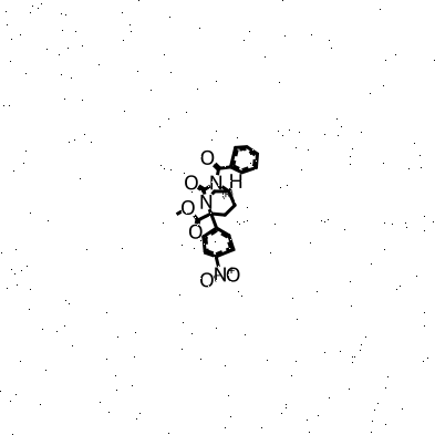 COC(=O)C1(c2ccc([N+](=O)[O-])cc2)CC[C@@H]2CN1C(=O)N2C(=O)c1ccccc1